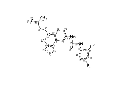 CCn1nccc1-c1cc(NC(=O)Nc2ccc(F)cc2F)ccc1OCCN(C)C